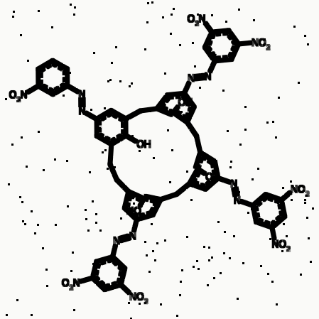 O=[N+]([O-])c1cccc(N=Nc2cc3c(O)c(c2)Cc2cc(N=Nc4cc([N+](=O)[O-])cc([N+](=O)[O-])c4)cc(c2O)Cc2cc(N=Nc4cc([N+](=O)[O-])cc([N+](=O)[O-])c4)cc(c2O)Cc2cc(N=Nc4cc([N+](=O)[O-])cc([N+](=O)[O-])c4)cc(c2O)CC3)c1